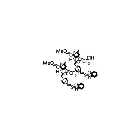 COCCOc1nc(C)cc(OCC(F)(F)F)c1NC(=O)CN1CCN(CCSc2nc3ccccc3o2)CC1.COCCOc1nc(C)cc(OCC(F)(F)F)c1NC(=O)CN1CCN(CCSc2nc3ccccc3o2)CC1.Cl